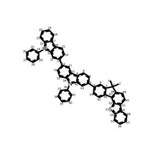 CC1(C)c2cc(-c3ccc4c5cc(-c6ccc7c8ccccc8n(-c8ccccc8)c7c6)ccc5n(-c5ccccc5)c4c3)ccc2-c2c1ccc1c2sc2ccccc21